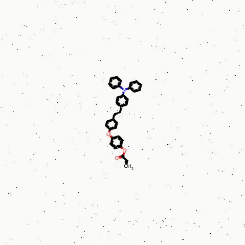 C=CC(=O)Oc1ccc(Oc2ccc(CCc3ccc(N(c4ccccc4)c4ccccc4)cc3)cc2)cc1